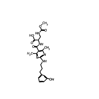 COC(=O)NCC(NC(=O)c1c(C)nc(NCCCc2cccc(O)c2)nc1C)C(=O)O